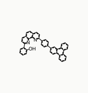 Oc1ccccc1-c1ccc2ccc3ccc(-c4ccc(-c5ccc6c7ccccc7c7ccccc7c6c5)cc4)nc3c2n1